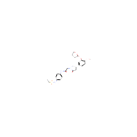 CCS(=O)(=O)Nc1ccc(NC(=O)CN2C[C@H](c3ccc(OC)c(OC4CCCO4)c3)CC2=O)cc1